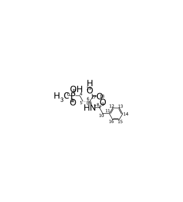 CP(=O)(O)CC[C@@H](NC(=O)Cc1ccccc1)C(=O)O